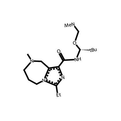 CCc1nc(C(=O)N[C@H](OCNC)C(C)(C)C)c2n1CCCN(C)C2